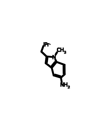 C[C](C)Cc1cc2cc(N)ccc2n1C